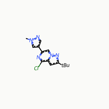 Cn1cc(-c2cn3nc(C(C)(C)C)cc3c(Cl)n2)cn1